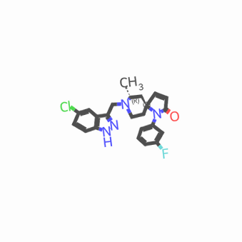 C[C@@H]1C[C@]2(C=CC(=O)N2c2cccc(F)c2)CCN1Cc1n[nH]c2ccc(Cl)cc12